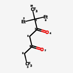 CCC(CC)(C(=O)CC(=O)CC(F)(F)F)C(F)(F)F